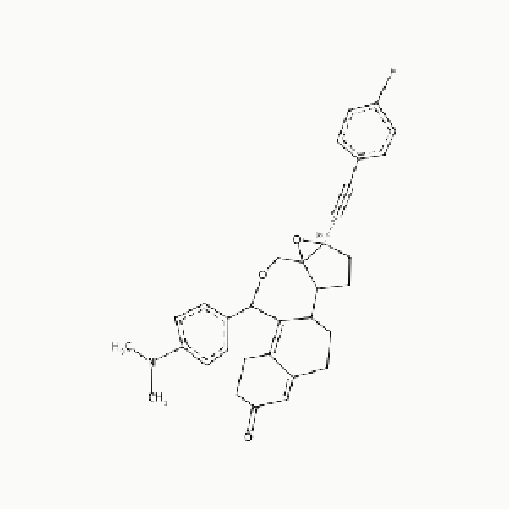 CN(C)c1ccc(C2OCC34O[C@@]3(C#Cc3ccc(F)cc3)CCC4C3CCC4=CC(=O)CCC4=C23)cc1